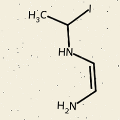 CC(I)N/C=C\N